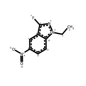 CCn1nc(F)c2cc([N+](=O)[O-])ccc21